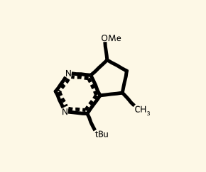 COC1CC(C)c2c1ncnc2C(C)(C)C